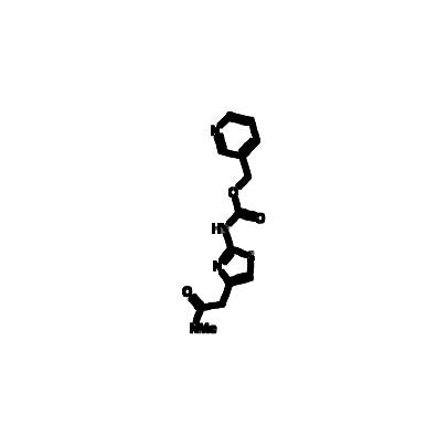 CNC(=O)Cc1csc(NC(=O)OCc2cccnc2)n1